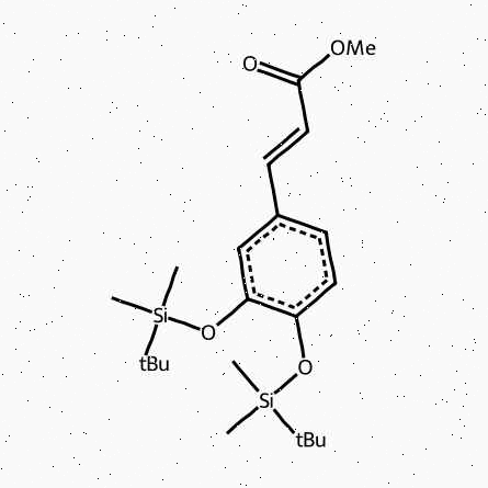 COC(=O)C=Cc1ccc(O[Si](C)(C)C(C)(C)C)c(O[Si](C)(C)C(C)(C)C)c1